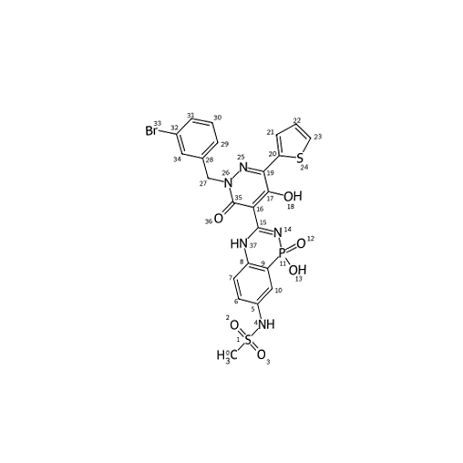 CS(=O)(=O)Nc1ccc2c(c1)P(=O)(O)N=C(c1c(O)c(-c3cccs3)nn(Cc3cccc(Br)c3)c1=O)N2